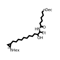 CCCCCCCCCCCCCCCC(=O)NC(CC)C(O)CCCCCCCCCC1C[C@@H]1CCCCCC